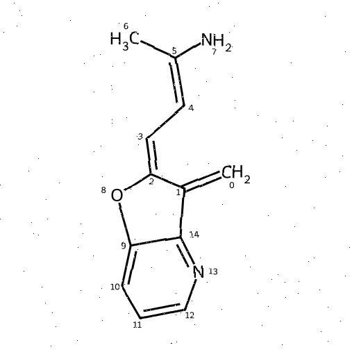 C=c1/c(=C\C=C(/C)N)oc2cccnc12